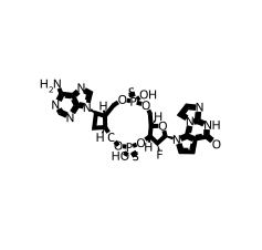 Nc1ncnc2c1ncn2[C@@H]1C[C@@H]2COP(O)(=S)O[C@H]3[C@@H](F)[C@H](n4ccc5c(=O)[nH]c6nccn6c54)O[C@@H]3COP(O)(=S)OC[C@H]21